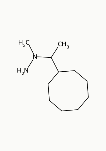 CC(C1CCCCCCC1)N(C)N